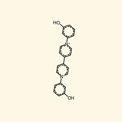 Oc1cccc(-[n+]2ccc(-c3cc[n+](-c4cccc(O)c4)cc3)cc2)c1